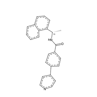 C[C@H](NC(=O)c1ccc(-c2ccncc2)cc1)c1cccc2ccccc12